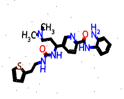 CN(C)CCC(NC(=O)NCCc1cccs1)c1ccc(C(=O)Nc2ccccc2N)nc1